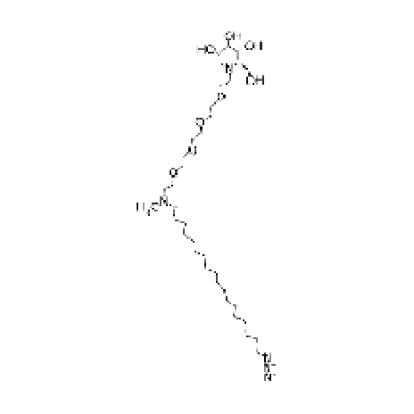 CN(CCCCCCCCCCCCCCCCCCN=[N+]=[N-])CCOCCOCCOCCOCCN1C[C@H](O)[C@@H](O)[C@H](O)[C@H]1CO